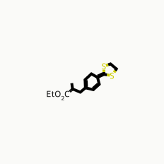 CCOC(=O)C(C)CC1=CCC(=C2SCCS2)C=C1